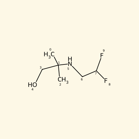 CC(C)(CO)NCC(F)F